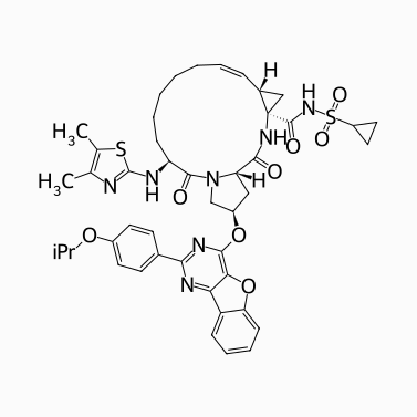 Cc1nc(N[C@H]2CCCCC/C=C\[C@@H]3C[C@@]3(C(=O)NS(=O)(=O)C3CC3)NC(=O)[C@@H]3C[C@@H](Oc4nc(-c5ccc(OC(C)C)cc5)nc5c4oc4ccccc45)CN3C2=O)sc1C